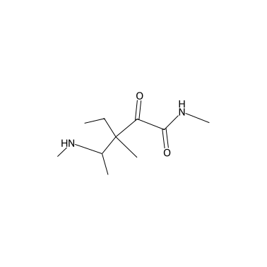 CCC(C)(C(=O)C(=O)NC)C(C)NC